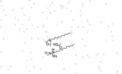 CC(=O)O.CCCCCCCCCCCCN1CC(C)OC(C)C1.CCCCCCCCCCCCNC(=N)N